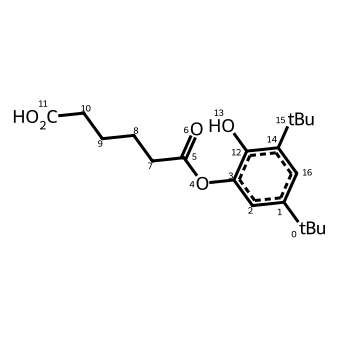 CC(C)(C)c1cc(OC(=O)CCCCC(=O)O)c(O)c(C(C)(C)C)c1